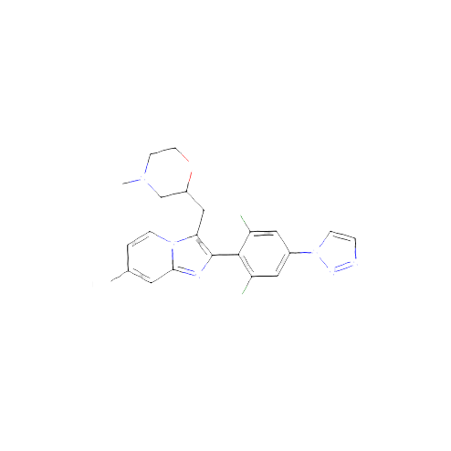 Cc1ccn2c(CC3CN(C(=O)O)CCO3)c(-c3c(F)cc(-n4ccnn4)cc3F)nc2c1